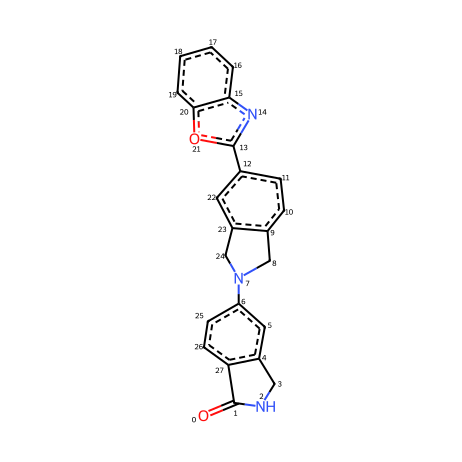 O=C1NCc2cc(N3Cc4ccc(-c5nc6ccccc6o5)cc4C3)ccc21